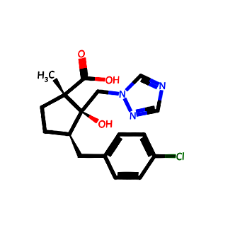 C[C@]1(C(=O)O)CC[C@H](Cc2ccc(Cl)cc2)[C@@]1(O)Cn1cncn1